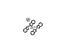 C1=C(p2cc3ccccc3c2)[CH]([Zr+2][CH]2C(p3cc4ccccc4c3)=Cc3ccccc32)c2ccccc21.[Cl-].[Cl-]